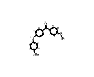 CCC(C)c1ccc(Oc2ccc(C(=O)c3ccc(OC(C)C)cc3)cc2)cc1